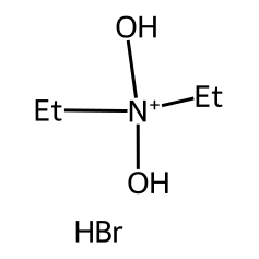 Br.CC[N+](O)(O)CC